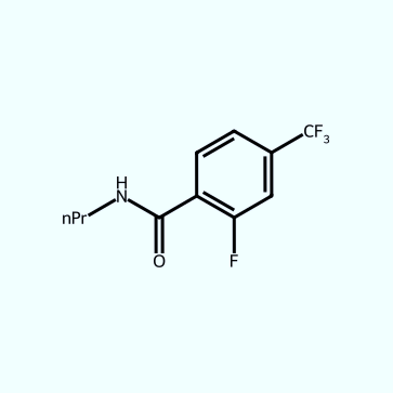 CCCNC(=O)c1ccc(C(F)(F)F)cc1F